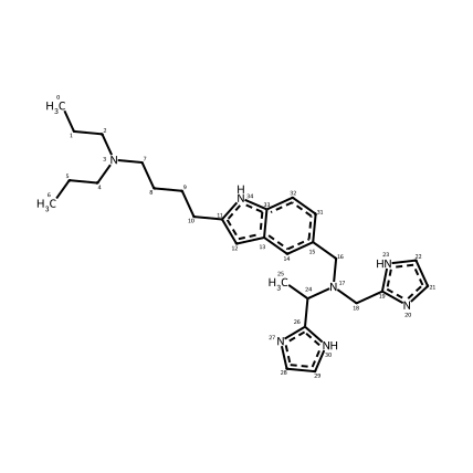 CCCN(CCC)CCCCc1cc2cc(CN(Cc3ncc[nH]3)C(C)c3ncc[nH]3)ccc2[nH]1